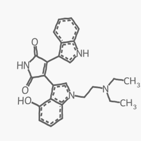 CCN(CC)CCn1cc(C2=C(c3c[nH]c4ccccc34)C(=O)NC2=O)c2c(O)cccc21